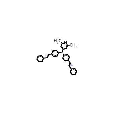 Cc1cc(P(c2ccc(/C=C/c3ccccc3)cc2)c2ccc(/C=C/c3ccccc3)cc2)cc(C)n1